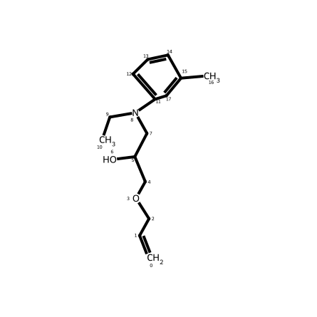 C=CCOCC(O)CN(CC)c1cc[c]c(C)c1